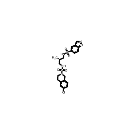 C[C@@H](CNS(=O)(=O)c1ccc2oncc2c1)CNS(=O)(=O)N1CCc2cc(Cl)ccc2C1